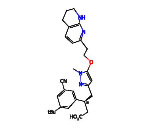 Cn1nc(C[C@@H](CC(=O)O)c2cc(C#N)cc(C(C)(C)C)c2)cc1OCCc1ccc2c(n1)NCCC2